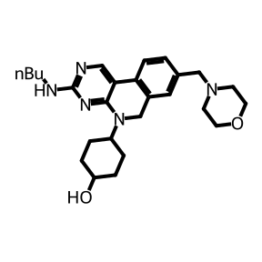 CCCCNc1ncc2c(n1)N(C1CCC(O)CC1)Cc1cc(CN3CCOCC3)ccc1-2